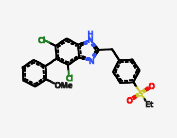 CCS(=O)(=O)c1ccc(Cc2nc3c(Cl)c(-c4ccccc4OC)c(Cl)cc3[nH]2)cc1